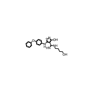 N=C(NCCCCO)c1c(O)nsc1Nc1ccc(Oc2ccccc2)cc1